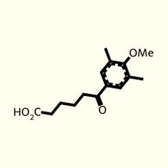 COc1c(C)cc(C(=O)CCCCC(=O)O)cc1C